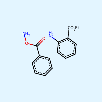 CCOC(=O)c1ccccc1N.NOC(=O)c1ccccc1